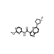 COc1nccc(NC(=O)c2cnc3ccc(N4CC[C@H](F)C4)nn23)n1